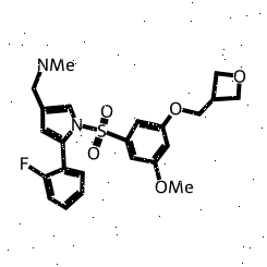 CNCc1cc(-c2ccccc2F)n(S(=O)(=O)c2cc(OC)cc(OCC3COC3)c2)c1